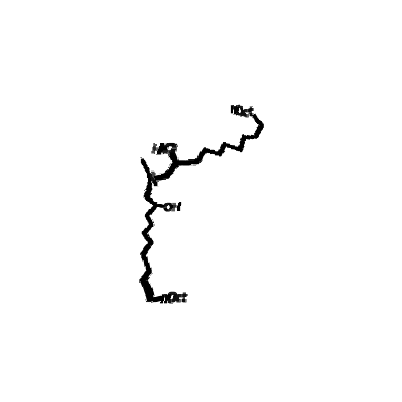 CCCCCCCC/C=C\CCCCCCC(O)CN(C)CC(O)CCCCCC/C=C\CCCCCCCC